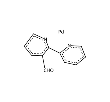 O=Cc1cccnc1-c1ccccn1.[Pd]